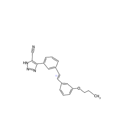 CCCOc1cccc(/C=C/c2cccc(-c3nn[nH]c3C#N)c2)c1